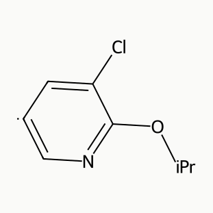 CC(C)Oc1nc[c]cc1Cl